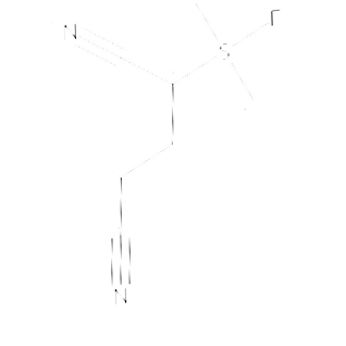 CS(C)(F)C(C#N)CCC#N